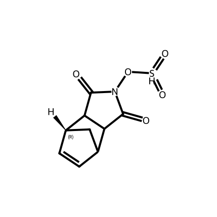 O=C1C2C3C=C[C@@H](C3)C2C(=O)N1O[SH](=O)=O